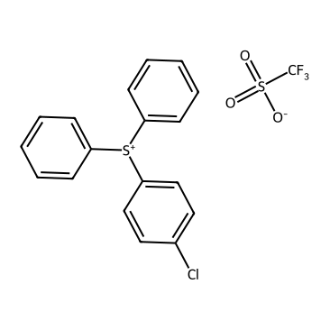 Clc1ccc([S+](c2ccccc2)c2ccccc2)cc1.O=S(=O)([O-])C(F)(F)F